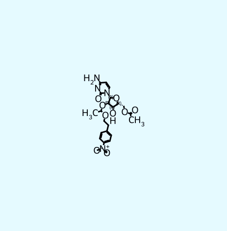 CC(=O)OC[C@H]1O[C@@H](n2ccc(N)nc2=O)[C@H](OC(C)OCCc2ccc([N+](=O)[O-])cc2)[C@@H]1O